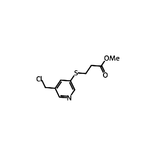 COC(=O)CCSc1cncc(CCl)c1